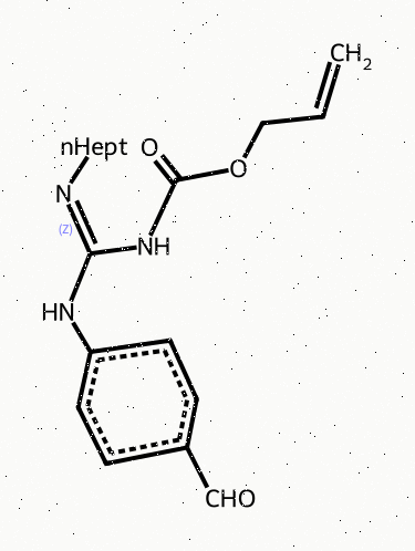 C=CCOC(=O)N/C(=N\CCCCCCC)Nc1ccc(C=O)cc1